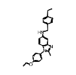 CCOc1ccc(-n2c(C)nc3cc(NCc4ccc(CC)cc4)ccc32)cc1